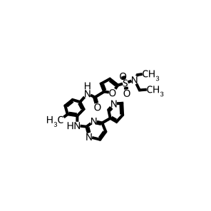 CCN(CC)S(=O)(=O)c1ccc(C(=O)Nc2ccc(C)c(Nc3nccc(-c4cccnc4)n3)c2)o1